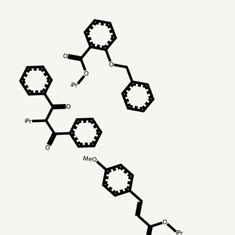 CC(C)C(C(=O)c1ccccc1)C(=O)c1ccccc1.CC(C)OC(=O)c1ccccc1OCc1ccccc1.COc1ccc(C=CC(=O)OC(C)C)cc1